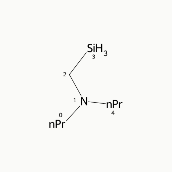 CCCN(C[SiH3])CCC